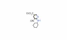 CCOC(=O)c1cnc(NC2CCCCC2)c(N=O)c1